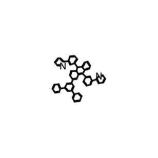 C1=CC2C(=C(c3cccc(-c4ccccn4)c3)c3ccccc3C2c2cccc(-c3ccccn3)c2)C=C1c1cc(-c2ccccc2)cc(-c2ccccc2)c1